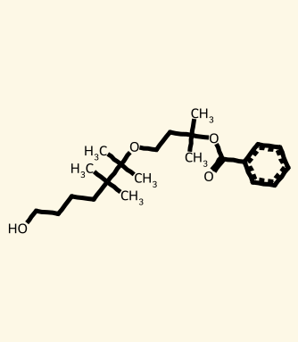 CC(C)(CCOC(C)(C)C(C)(C)CCCCO)OC(=O)c1ccccc1